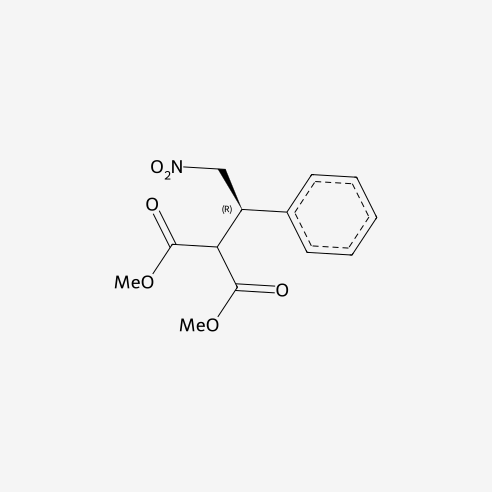 COC(=O)C(C(=O)OC)[C@@H](C[N+](=O)[O-])c1ccccc1